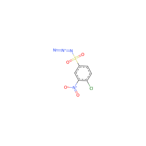 [N-]=[N+]=NS(=O)(=O)c1ccc(Cl)c([N+](=O)[O-])c1